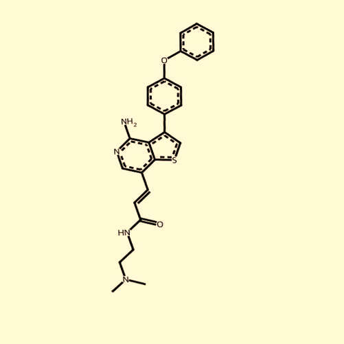 CN(C)CCNC(=O)/C=C/c1cnc(N)c2c(-c3ccc(Oc4ccccc4)cc3)csc12